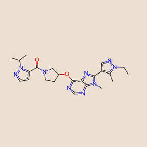 CCn1ncc(-c2nc3c(O[C@H]4CCN(C(=O)c5ccnn5C(C)C)C4)ncnc3n2C)c1C